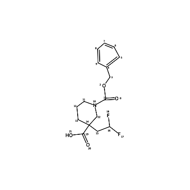 O=C(OCc1ccccc1)N1CCCC(CC(F)F)(C(=O)O)C1